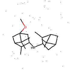 COC12CC(BC3CC4CC(C3C)C4(C)C)C(C)C(C1)C2(C)C